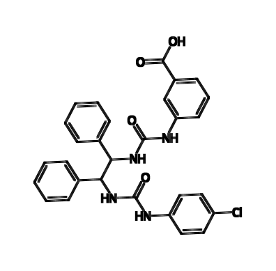 O=C(Nc1ccc(Cl)cc1)NC(c1ccccc1)C(NC(=O)Nc1cccc(C(=O)O)c1)c1ccccc1